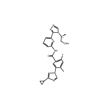 COC[C@H](C)n1cnnc1-c1cccc(NC(=O)c2cc(-n3cnc(C4CC4)c3)c(C)cc2F)n1